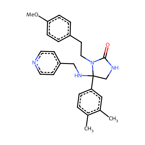 COc1ccc(CCN2C(=O)NCC2(NCc2ccncc2)c2ccc(C)c(C)c2)cc1